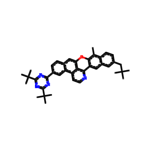 Cc1c2c(cc3cc(CC(C)(C)C)ccc13)-c1nccc3c1c(cc1ccc(-c4nc(C(C)(C)C)nc(C(C)(C)C)n4)cc13)O2